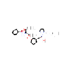 Cc1oc(-c2ccccc2)nc1COc1cccc(C(C)(C)C(=O)N2CCC[C@@H]2C(=O)O)c1